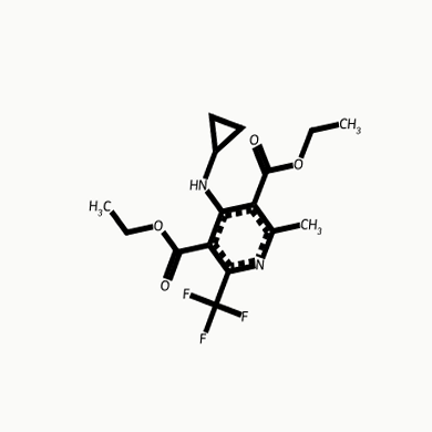 CCOC(=O)c1c(C)nc(C(F)(F)F)c(C(=O)OCC)c1NC1CC1